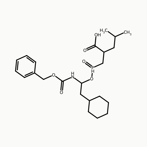 CC(C)CC(C[PH](=O)OC(CC1CCCCC1)NC(=O)OCc1ccccc1)C(=O)O